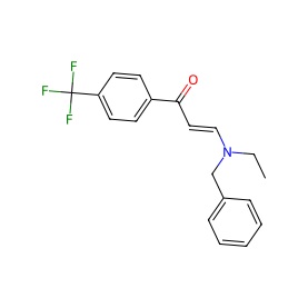 CCN(C=CC(=O)c1ccc(C(F)(F)F)cc1)Cc1ccccc1